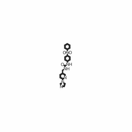 O=C(NCc1ccc(-n2ccnc2)nc1)Nc1ccc(S(=O)(=O)c2ccccc2)cc1